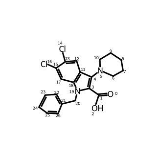 O=C(O)c1c(N2CCCCC2)c2cc(Cl)c(Cl)cc2n1Cc1ccccc1